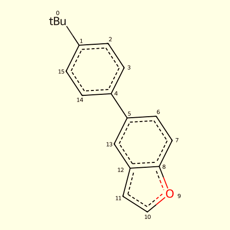 CC(C)(C)c1ccc(-c2ccc3occc3c2)cc1